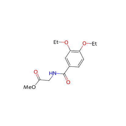 CCOc1ccc(C(=O)NCC(=O)OC)cc1OCC